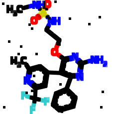 CNS(=O)(=O)NCCOc1nc(N)nc(-c2ccccc2)c1-c1cc(C)nc(C(F)(F)F)c1